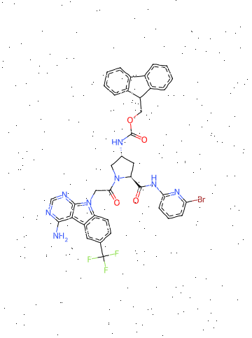 Nc1ncnc2c1c1cc(C(F)(F)F)ccc1n2CC(=O)N1C[C@H](NC(=O)OCC2c3ccccc3-c3ccccc32)C[C@H]1C(=O)Nc1cccc(Br)n1